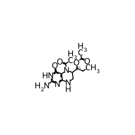 CC[C@H](OC(C)=O)C1CNc2nc(N)[nH]c(=O)c2N1C(C)=O